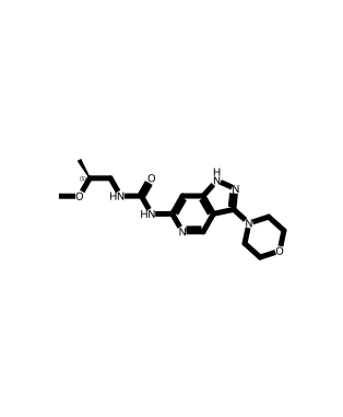 CO[C@@H](C)CNC(=O)Nc1cc2[nH]nc(N3CCOCC3)c2cn1